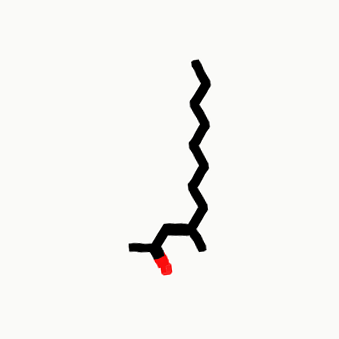 CCCCCCCCC(C)=CC(C)=O